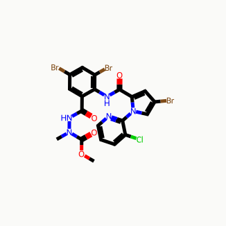 COC(=O)N(C)NC(=O)c1cc(Br)cc(Br)c1NC(=O)c1cc(Br)cn1-c1ncccc1Cl